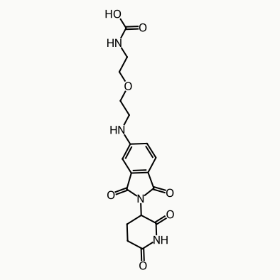 O=C(O)NCCOCCNc1ccc2c(c1)C(=O)N(C1CCC(=O)NC1=O)C2=O